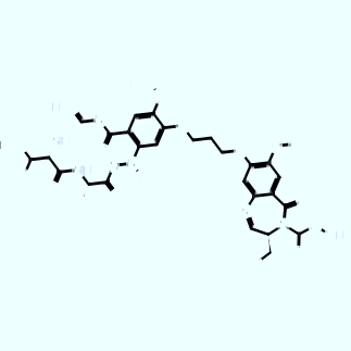 C=CNC(=O)c1cc(OC)c(OCCCOc2cc3c(cc2OC)C(=O)N(C(C)OC)[C@@H](CC)C=N3)cc1N(C)NC(=O)[C@H](C)NC(=O)[C@@H](N)C(C)C